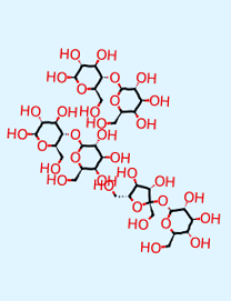 OC[C@H]1O[C@@H](O[C@H]2[C@H](O)[C@@H](O)[C@H](O)O[C@@H]2CO)[C@H](O)[C@@H](O)[C@H]1O.OC[C@H]1O[C@@H](O[C@H]2[C@H](O)[C@@H](O)[C@H](O)O[C@@H]2CO)[C@H](O)[C@@H](O)[C@H]1O.OC[C@H]1O[C@@](CO)(O[C@H]2O[C@H](CO)[C@@H](O)[C@H](O)[C@H]2O)[C@@H](O)[C@@H]1O